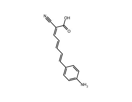 N#CC(=CC=CC=Cc1ccc(N)cc1)C(=O)O